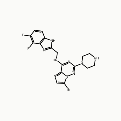 Fc1ccc2[nH]c(CNc3nc(N4CCNCC4)nn4c(Br)cnc34)nc2c1F